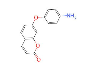 Nc1ccc(Oc2ccc3ccc(=O)oc3c2)cc1